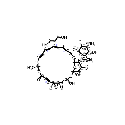 CCCCO.C[C@@H]1C/C=C/C=C/C=C/C=C/[C@H](O[C@@H]2O[C@H](C)[C@@H](O)[C@H](N)[C@@H]2O)C[C@@H]2O[C@](O)(C[C@@H](O)C[C@H]3O[C@@H]3/C=C/C(=O)O1)C[C@H](O)[C@H]2C(=O)O